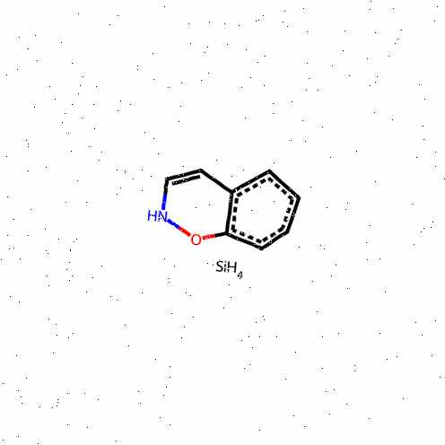 C1=Cc2ccccc2ON1.[SiH4]